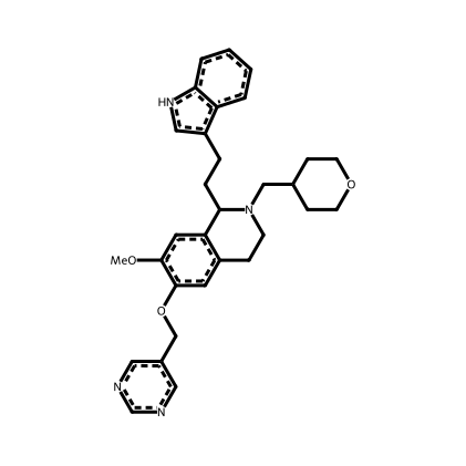 COc1cc2c(cc1OCc1cncnc1)CCN(CC1CCOCC1)C2CCc1c[nH]c2ccccc12